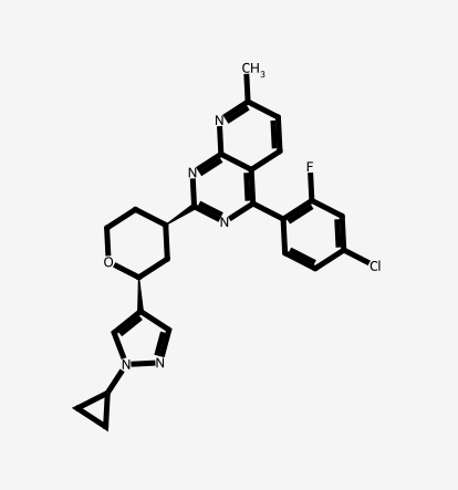 Cc1ccc2c(-c3ccc(Cl)cc3F)nc([C@@H]3CCO[C@H](c4cnn(C5CC5)c4)C3)nc2n1